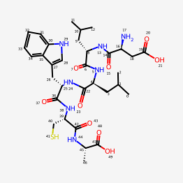 CC(C)C[C@H](NC(=O)[C@H](CC(C)C)NC(=O)[C@@H](N)CC(=O)O)C(=O)N[C@@H](Cc1c[nH]c2ccccc12)C(=O)N[C@@H](CS)C(=O)N[C@@H](C)C(=O)O